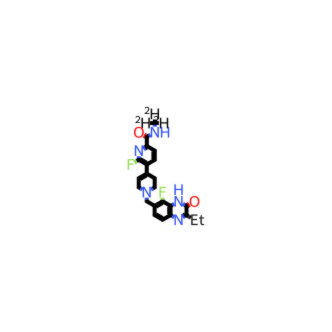 [2H]C([2H])([2H])NC(=O)c1ccc(C2=CCN(Cc3ccc4nc(CC)c(=O)[nH]c4c3F)CC2)c(F)n1